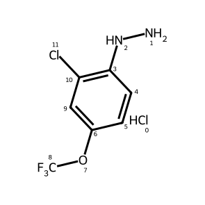 Cl.NNc1ccc(OC(F)(F)F)cc1Cl